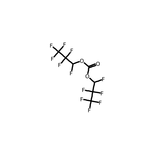 O=C(OC(F)C(F)(F)C(F)(F)F)OC(F)C(F)(F)C(F)(F)F